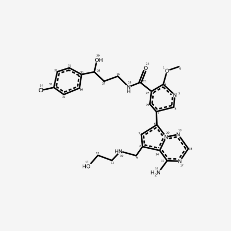 COc1ncc(-c2cc(CNCCO)c3c(N)ncnn23)cc1C(=O)NCCC(O)c1ccc(Cl)cc1